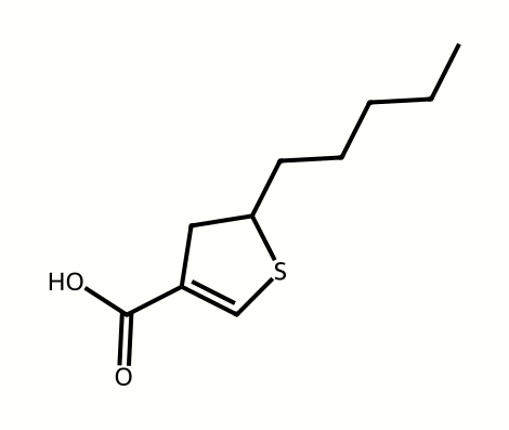 CCCCCC1CC(C(=O)O)=CS1